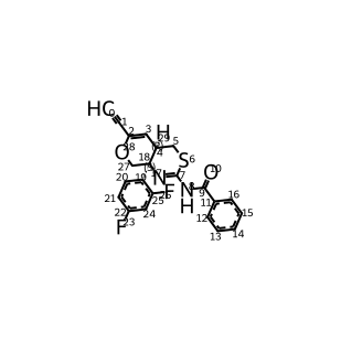 C#CC1=C[C@H]2CSC(NC(=O)c3ccccc3)=N[C@@]2(c2ccc(F)cc2F)CO1